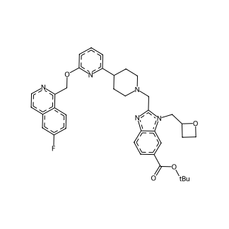 CC(C)(C)OC(=O)c1ccc2nc(CN3CCC(c4cccc(OCc5nccc6cc(F)ccc56)n4)CC3)n(CC3CCO3)c2c1